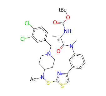 CC(=O)N(Sc1nc(-c2cccc(N(C)C(=O)[C@H](C)NC(=O)OC(C)(C)C)c2)cs1)C1CCN(Cc2ccc(Cl)c(Cl)c2)CC1